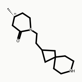 C[C@@H]1CCN(CCC2CC3(CCNCC3)C2)C(=O)C1